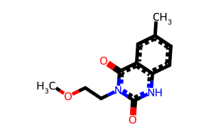 COCCn1c(=O)[nH]c2ccc(C)cc2c1=O